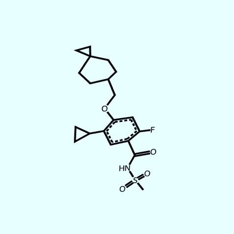 CS(=O)(=O)NC(=O)c1cc(C2CC2)c(OCC2CCC3(CC2)CC3)cc1F